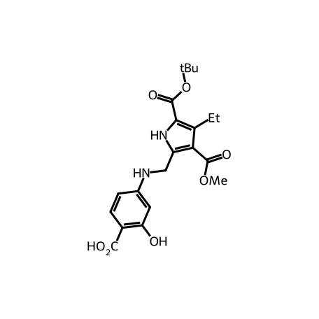 CCc1c(C(=O)OC(C)(C)C)[nH]c(CNc2ccc(C(=O)O)c(O)c2)c1C(=O)OC